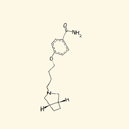 NC(=O)c1ccc(OCCCCN2C[C@H]3CC[C@H]3C2)cc1